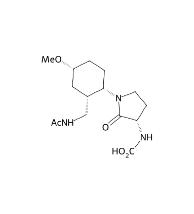 CO[C@@H]1CC[C@H](N2CC[C@H](NC(=O)O)C2=O)[C@H](CNC(C)=O)C1